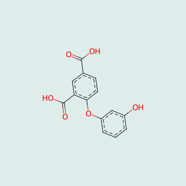 O=C(O)c1ccc(Oc2cccc(O)c2)c(C(=O)O)c1